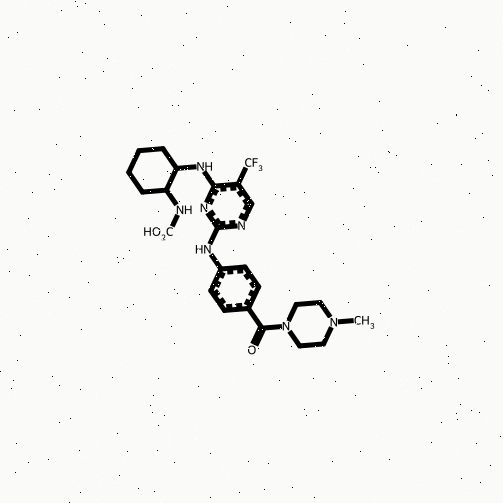 CN1CCN(C(=O)c2ccc(Nc3ncc(C(F)(F)F)c(NC4CCCCC4NC(=O)O)n3)cc2)CC1